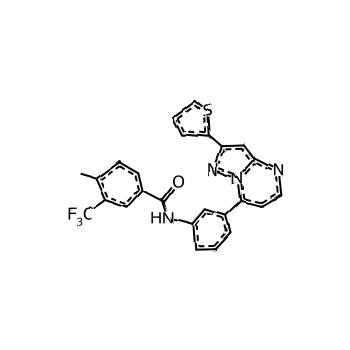 Cc1ccc(C(=O)Nc2cccc(-c3ccnc4cc(-c5cccs5)nn34)c2)cc1C(F)(F)F